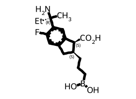 CC[C@@](C)(N)c1cc2c(cc1F)C[C@H](CCCB(O)O)[C@@H]2C(=O)O